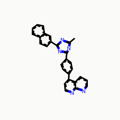 Cc1nc(-c2ccc(-c3ccnc4ncccc34)cc2)nc(-c2ccc3ccccc3c2)n1